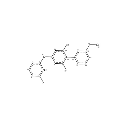 Cc1cccc(Oc2cc(C)c(-c3cccc(CO)c3)c(C)c2)n1